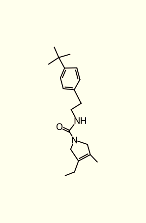 CCC1=C(C)CN(C(=O)NCCc2ccc(C(C)(C)C)cc2)C1